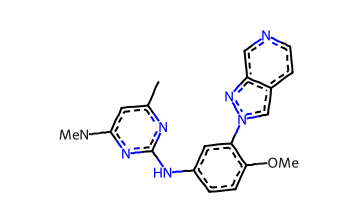 CNc1cc(C)nc(Nc2ccc(OC)c(-n3cc4ccncc4n3)c2)n1